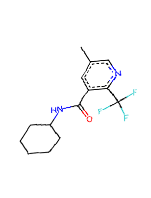 Cc1cnc(C(F)(F)F)c(C(=O)NC2CCCCC2)c1